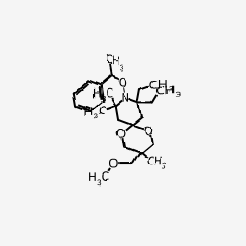 CCC1(CC)CC2(CC(C)(C)N1OC(C)c1ccccc1)OCC(C)(COC)CO2